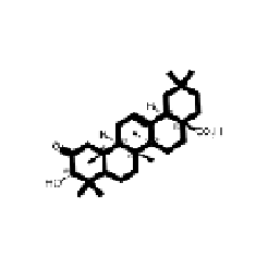 CC1(C)CC[C@]2(C(=O)O)CC[C@]3(C)C(=CC[C@@H]4[C@@]5(C)CC(=O)[C@@H](O)C(C)(C)C5CC[C@]43C)[C@H]2C1